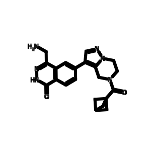 NCc1n[nH]c(=O)c2ccc(-c3cnn4c3CN(C(=O)C35CC(C3)C5)CC4)cc12